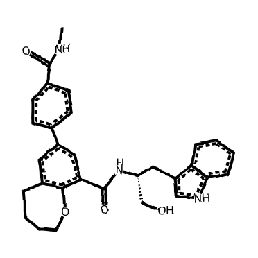 CNC(=O)c1ccc(-c2cc3c(c(C(=O)N[C@@H](CO)Cc4c[nH]c5ccccc45)c2)OCCCC3)cc1